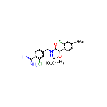 CC(=O)O.CCOC(C(=O)NCc1ccc(C(=N)N)c(Cl)c1)c1ccc(OC)cc1F